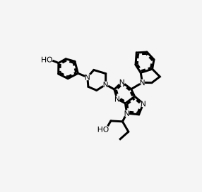 CCC(CO)n1cnc2c(N3CCc4ccccc43)nc(N3CCN(c4ccc(O)cc4)CC3)nc21